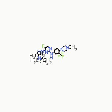 CN1CCN(c2ccc(Nc3ncc(F)c(NC4CC(C)(C)N(C)C4(C)C)n3)cc2C(F)(F)F)CC1